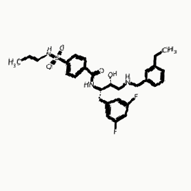 CCCNS(=O)(=O)c1ccc(C(=O)N[C@@H](Cc2cc(F)cc(F)c2)[C@H](O)CNCc2cccc(CC)c2)cc1